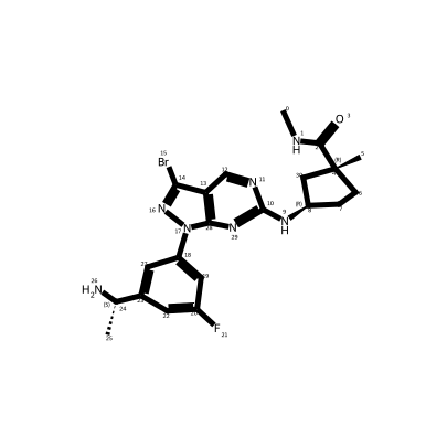 CNC(=O)[C@]1(C)CC[C@@H](Nc2ncc3c(Br)nn(-c4cc(F)cc([C@H](C)N)c4)c3n2)C1